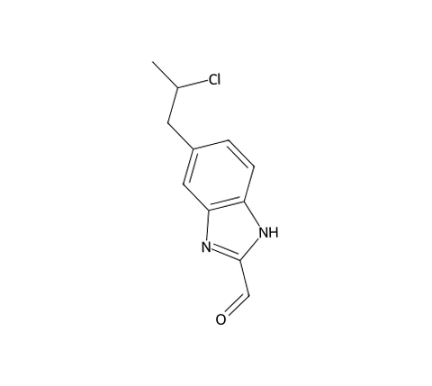 CC(Cl)Cc1ccc2[nH]c(C=O)nc2c1